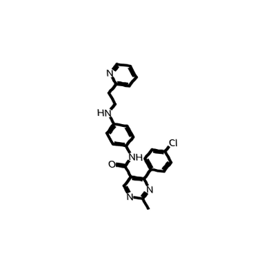 Cc1ncc(C(=O)Nc2ccc(NCCc3ccccn3)cc2)c(-c2ccc(Cl)cc2)n1